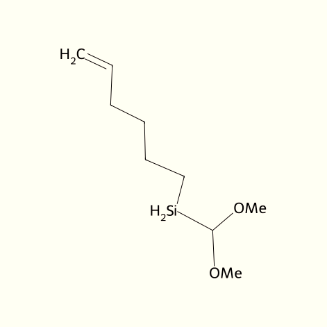 C=CCCCC[SiH2]C(OC)OC